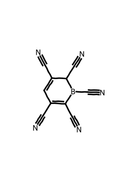 N#CB1C(C#N)=C(C#N)C=C(C#N)C1C#N